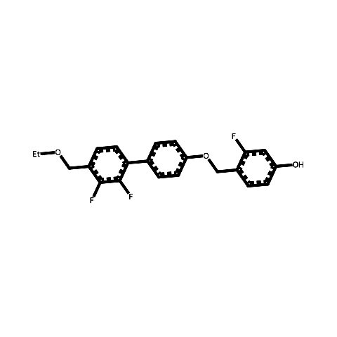 CCOCc1ccc(-c2ccc(OCc3ccc(O)cc3F)cc2)c(F)c1F